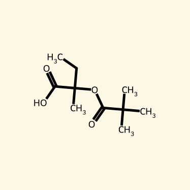 CCC(C)(OC(=O)C(C)(C)C)C(=O)O